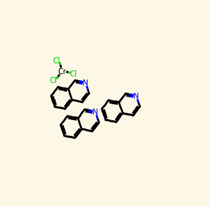 [Cl][Cr]([Cl])[Cl].c1ccc2cnccc2c1.c1ccc2cnccc2c1.c1ccc2cnccc2c1